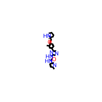 Cc1ccc(NC(=O)Nc2cncc(-c3ccc(OC[C@@]4(C)CCCCN4)c(C)c3)n2)cn1